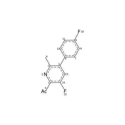 CC(=O)c1nc(C)c(-c2ccc(F)cc2)cc1F